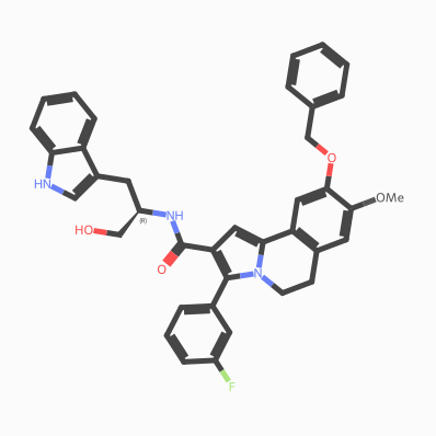 COc1cc2c(cc1OCc1ccccc1)-c1cc(C(=O)N[C@@H](CO)Cc3c[nH]c4ccccc34)c(-c3cccc(F)c3)n1CC2